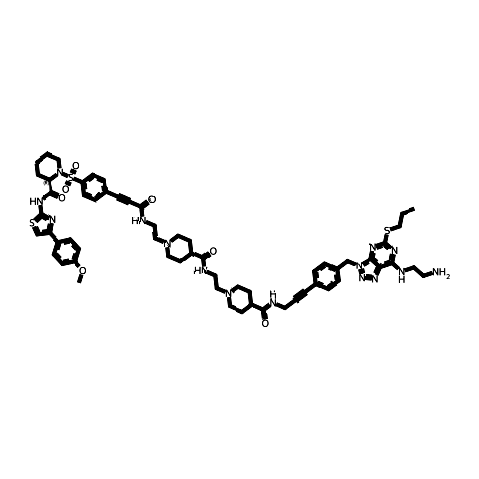 CCCSc1nc(NCCN)c2nnn(Cc3ccc(C#CCNC(=O)C4CCN(CCNC(=O)C5CCN(CCNC(=O)C#Cc6ccc(S(=O)(=O)N7CCCC[C@@H]7C(=O)Nc7nc(-c8ccc(OC)cc8)cs7)cc6)CC5)CC4)cc3)c2n1